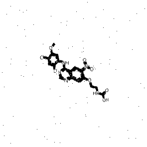 COc1cc(Nc2ncnc3cc(OCCNC(=O)O)c([N+](=O)[O-])cc23)c(Cl)cc1Cl